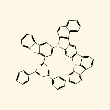 c1ccc(-c2nc(-c3ccccc3)nc(-c3cc(-n4c5cc6c(cc5c5c7ccccc7ccc54)c4cccc5c7ccccc7n6c54)cc4c3sc3ccccc34)n2)cc1